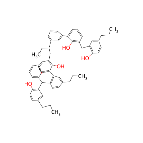 CCCc1ccc(O)c(Cc2cccc(-c3cccc(C(CC)Cc4cccc(-c5cc(CCC)ccc5C(c5ccccc5)c5cc(CCC)ccc5O)c4O)c3)c2O)c1